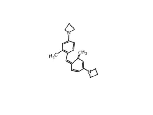 C=c1cc(N2CCC2)cc/c1=C/c1ccc(N2CCC2)cc1C